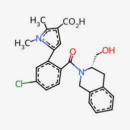 Cc1c(C(=O)O)cc(-c2cc(Cl)ccc2C(=O)N2Cc3ccccc3C[C@H]2CO)n1C